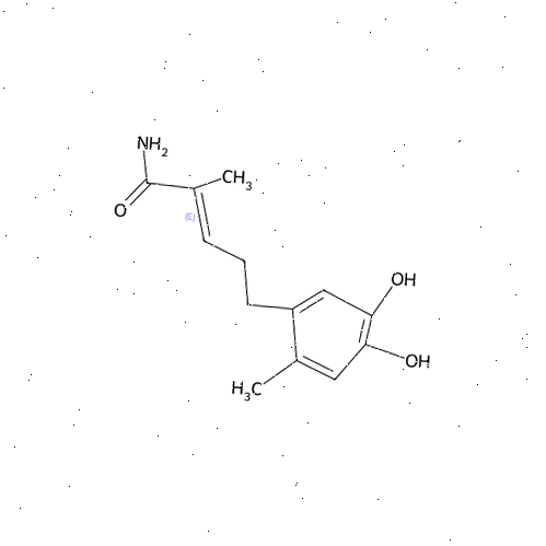 C/C(=C\CCc1cc(O)c(O)cc1C)C(N)=O